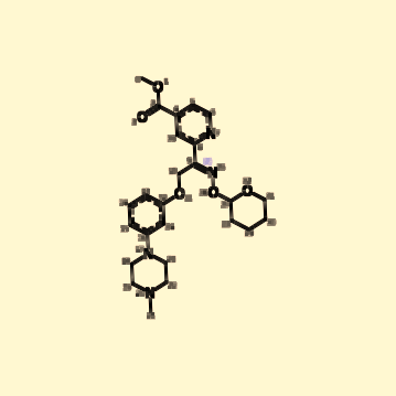 COC(=O)c1ccnc(/C(COc2cccc(N3CCN(C)CC3)c2)=N/OC2CCCCO2)c1